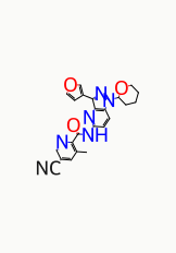 Cc1cc(C#N)cnc1C(=O)Nc1ccc2c(n1)c(-c1ccoc1)nn2C1CCCCO1